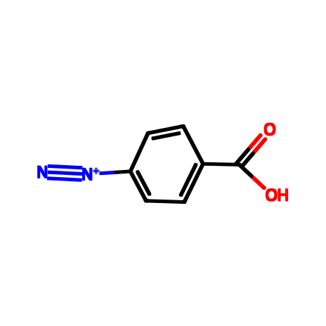 N#[N+]c1ccc(C(=O)O)cc1